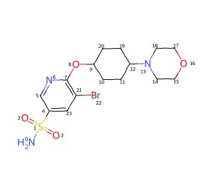 NS(=O)(=O)c1cnc(OC2CCC(N3CCOCC3)CC2)c(Br)c1